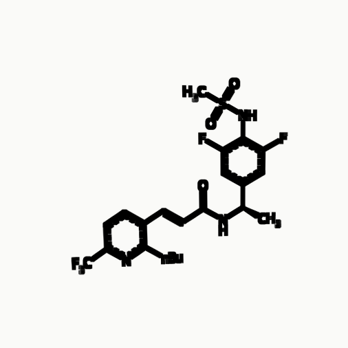 CCCCc1nc(C(F)(F)F)ccc1/C=C/C(=O)N[C@H](C)c1cc(F)c(NS(C)(=O)=O)c(F)c1